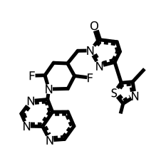 Cc1nc(C)c(-c2ccc(=O)n(CC3CC(F)N(c4ncnc5ncccc45)CC3F)n2)s1